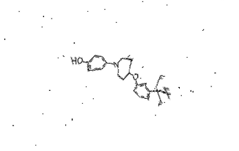 Oc1ccc(N2CCC(Oc3cccc(C(F)(F)F)c3)CC2)cc1